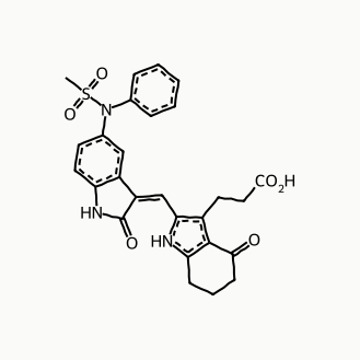 CS(=O)(=O)N(c1ccccc1)c1ccc2c(c1)C(=Cc1[nH]c3c(c1CCC(=O)O)C(=O)CCC3)C(=O)N2